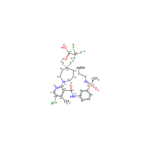 CNCCN=[S@](C)(=O)c1cccc(NC(=O)c2c(N3CCCC(F)(F)CC3)ncc(Br)c2C)c1.O=C(O)C(F)(F)F